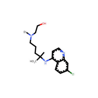 CCN(CCO)CCCC(C)(Nc1ccnc2cc(Cl)ccc12)C(=O)O